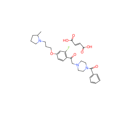 CC1CCCN1CCCOc1ccc(C(=O)CN2CCN(C(=O)c3ccccc3)CC2)c(F)c1.O=C(O)C=CC(=O)O